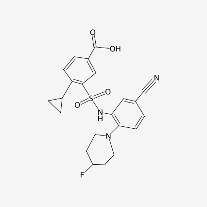 N#Cc1ccc(N2CCC(F)CC2)c(NS(=O)(=O)c2cc(C(=O)O)ccc2C2CC2)c1